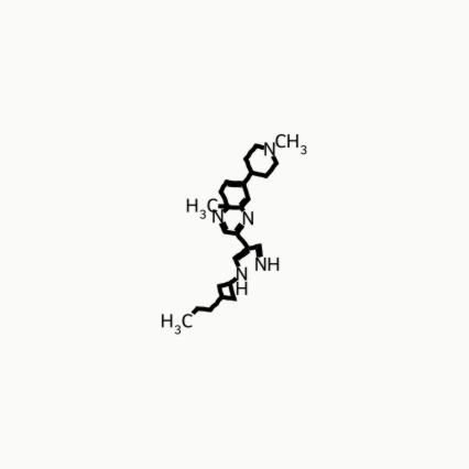 CCCC1CC(N/C=C(\C=N)C2=NC3=CC(C4CCN(C)CC4)=CCC3(C)N=C2)C1